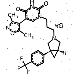 Cc1noc(C)c1-c1cn(CCCN2C[C@@H]3C[C@]3(c3ccc(C(F)(F)F)cc3)C2)c(=O)[nH]c1=O.Cl